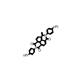 C=c1c2ccc3c4c(ccc(c(=O)n1-c1ccc(CCC)cc1)c42)C(=O)N(c1ccc(CCC)cc1)C3=O